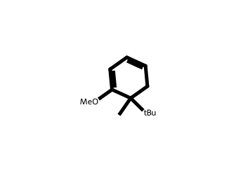 COC1=CC=CCC1(C)C(C)(C)C